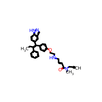 C#CCN(C)C(=O)/C=C/CNCCOc1ccc(/C(=C(/CC)c2ccccc2)c2ccc3[nH]ncc3c2)cc1